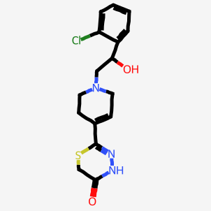 O=C1CSC(C2=CCN(CC(O)c3ccccc3Cl)CC2)=NN1